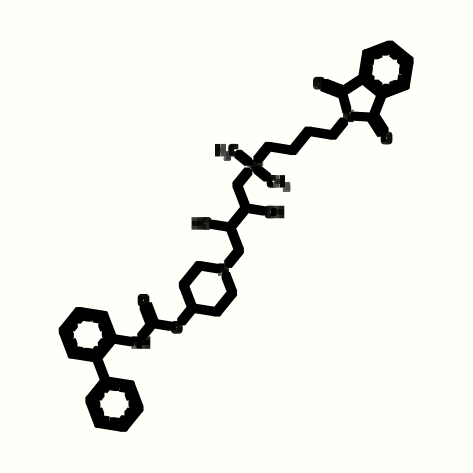 C[N+](C)(CCCCN1C(=O)c2ccccc2C1=O)CC(O)C(O)CN1CCC(OC(=O)Nc2ccccc2-c2ccccc2)CC1